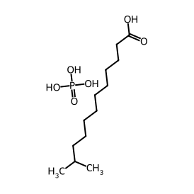 CC(C)CCCCCCCCCC(=O)O.O=P(O)(O)O